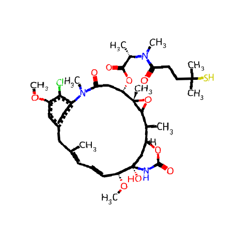 COc1cc2cc(c1Cl)N(C)C(=O)C[C@H](OC(=O)[C@H](C)N(C)C(=O)CCC(C)(C)S)[C@]1(C)OC1C(C)[C@@H]1C[C@@](O)(NC(=O)O1)[C@H](OC)/C=C/C=C(\C)C2